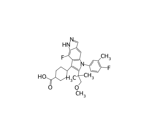 COCC(C)(C)c1c(C2CCC(C(=O)O)CC2)c2c(F)c3[nH]ncc3cc2n1-c1ccc(F)c(C)c1